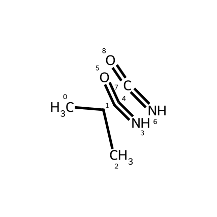 CCC.N=C=O.N=C=O